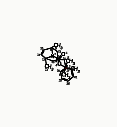 CC(C)(C)OC(=O)N1C2(C)C=CC1(C)CN(Cc1ccccc1)C2